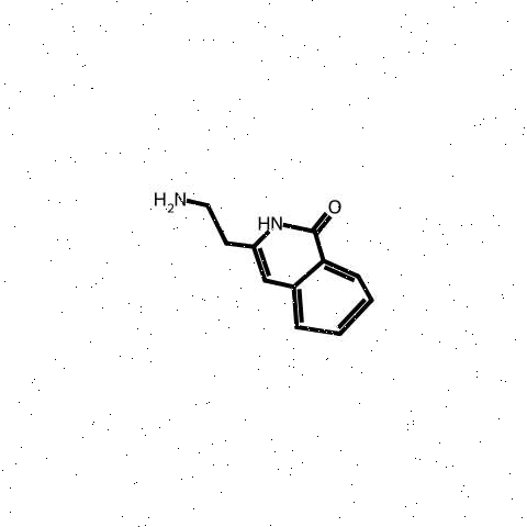 NCCc1cc2ccccc2c(=O)[nH]1